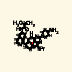 C=C(C)C(=O)Nc1ccc2c(-c3ccccc3CNc3nc(N4CCC(N)CC4)nc4c(C(C)C)cnn34)nccc2c1